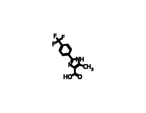 Cc1[nH]c(-c2ccc(C(F)(F)F)cc2)nc1C(=O)O